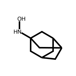 ONC12CC3CC(C1)C(C3)C2